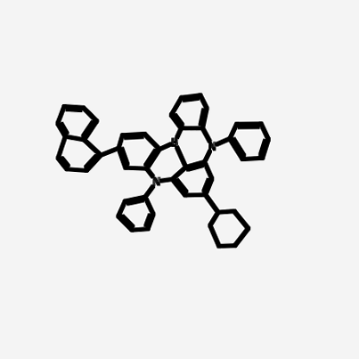 c1ccc(N2c3ccccc3B3c4ccc(-c5cccc6ccccc56)cc4N(c4ccccc4)c4cc(C5CCCCC5)cc2c43)cc1